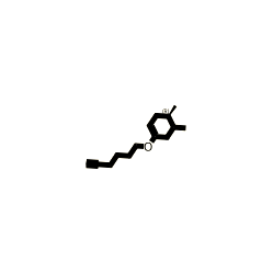 C#CCCCCOC1=CC[C@@H](C)C(C)C1